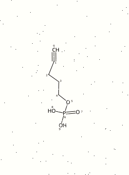 C#CCCCOP(=O)(O)O